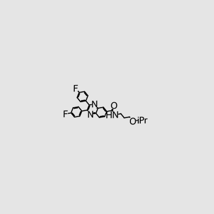 CC(C)OCCCNC(=O)c1ccc2nc(-c3ccc(F)cc3)c(-c3ccc(F)cc3)nc2c1